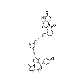 CC1=C(C#Cc2cnn(CCC/C=C/c3cccc4c3C(=O)N(C3CCC(=O)NC3=O)C4=O)c2)SC2C1C(C1C=CC(Cl)=CC1)=N[C@@H](C)c1nnc(C)n12